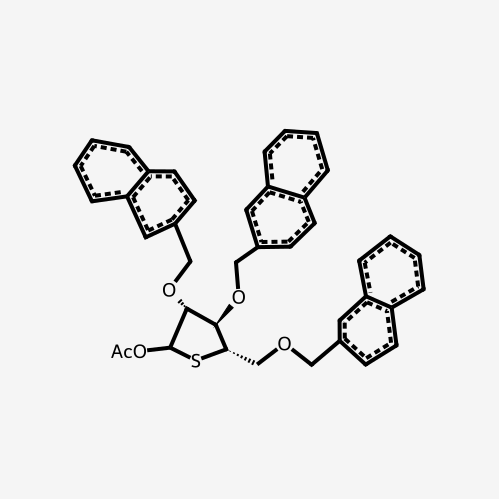 CC(=O)OC1S[C@@H](COCc2ccc3ccccc3c2)[C@H](OCc2ccc3ccccc3c2)[C@H]1OCc1ccc2ccccc2c1